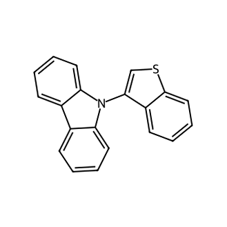 c1ccc2c(-n3c4ccccc4c4ccccc43)csc2c1